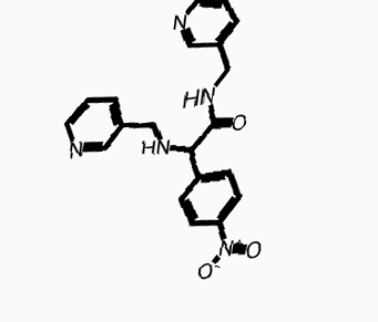 O=C(NCc1cccnc1)C(NCc1cccnc1)c1ccc([N+](=O)[O-])cc1